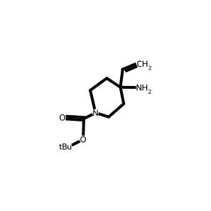 C=CC1(N)CCN(C(=O)OC(C)(C)C)CC1